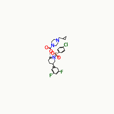 O=C(OC[C@H]1CCC([C@@H]2C=C(F)C=C(F)C2)CN1S(=O)(=O)c1ccc(Cl)cc1)N1CCN(CC2CC2)CC1